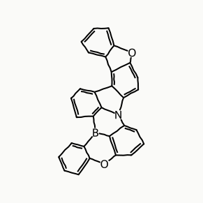 c1ccc2c(c1)Oc1cccc3c1B2c1cccc2c4c5c(ccc4n-3c12)oc1ccccc15